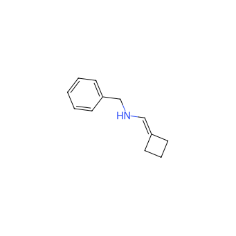 C(NCc1ccccc1)=C1CCC1